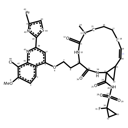 COc1ccc2c(OCCC3NC(=O)N(C)CCCC/C=C\C4CC4(C(=O)NS(=O)(=O)C4(F)CC4)NC3=O)cc(-c3nc(C(C)C)cs3)nc2c1Cl